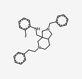 Fc1ccccc1NCC12CN(CCc3ccccc3)CCC1CN(Cc1ccccc1)C2